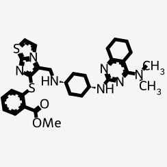 COC(=O)c1ccccc1Sc1nc2sccn2c1CN[C@H]1CC[C@@H](Nc2nc3c(c(N(C)C)n2)CCCC3)CC1